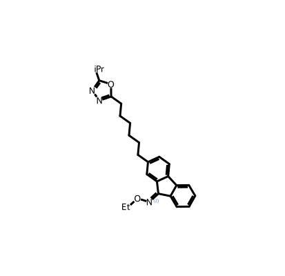 CCO/N=C1/c2ccccc2-c2ccc(CCCCCCc3nnc(C(C)C)o3)cc21